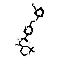 C[C@@H](NC(=O)c1ccc(COc2cccc(F)c2)nc1)C1CCOC(C)(C)C1